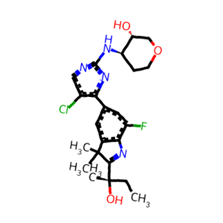 CC[C@](C)(O)C1=Nc2c(F)cc(-c3nc(N[C@@H]4CCOC[C@H]4O)ncc3Cl)cc2C1(C)C